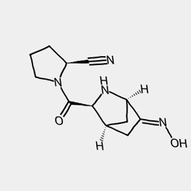 N#C[C@@H]1CCCN1C(=O)[C@H]1N[C@@H]2C[C@H]1CC2=NO